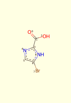 O=C(O)c1ncc(Br)[nH]1